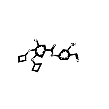 O=Cc1ccc(NC(=O)c2cc(Cl)c(OC3CCC3)c(OC3CCC3)c2)cc1O